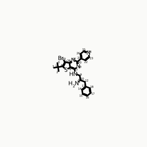 CC(C)(C)c1sc2c(NC[C@H](N)Cc3ccccc3)nc(-c3ccncc3)nc2c1Br